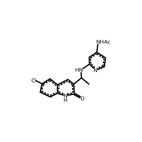 CC(=O)Nc1ccnc(NC(C)c2cc3cc(Cl)ccc3[nH]c2=O)c1